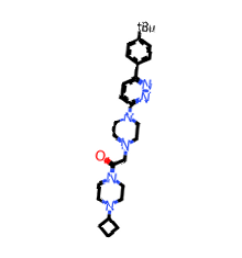 CC(C)(C)c1ccc(-c2ccc(N3CCN(CC(=O)N4CCN(C5CCC5)CC4)CC3)nn2)cc1